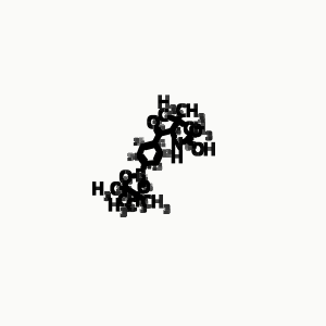 CC(C)(C)C(NC(=O)O)C(=O)c1ccc(B2OC(C)(C)C(C)(C)O2)cc1